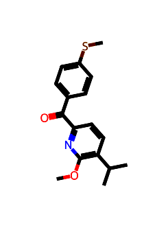 COc1nc(C(=O)c2ccc(SC)cc2)ccc1C(C)C